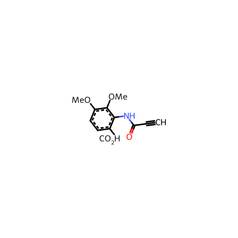 C#CC(=O)Nc1c(C(=O)O)ccc(OC)c1OC